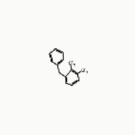 FC(F)(F)c1cccc(Cc2ccccc2)c1C(F)(F)F